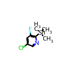 [CH3][Sn]([CH3])([CH3])[c]1ncc(Cl)cc1F